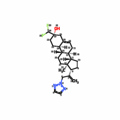 C=C(Cn1nccn1)[C@H]1CC[C@H]2[C@@H]3CC=C4C[C@](O)(C(F)F)CC[C@@H]4[C@H]3CC[C@]12C